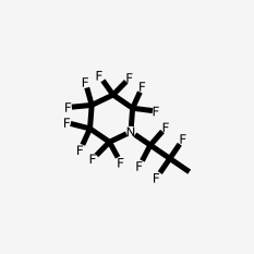 CC(F)(F)C(F)(F)N1C(F)(F)C(F)(F)C(F)(F)C(F)(F)C1(F)F